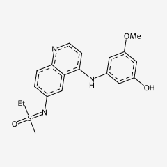 CCS(C)(=O)=Nc1ccc2nccc(Nc3cc(O)cc(OC)c3)c2c1